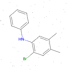 Cc1cc(Br)c(Nc2ccccc2)cc1C